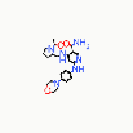 CC(=O)N1CCCC1CNc1cc(Nc2ccc(N3CCOCC3)cc2)ncc1C(N)=O